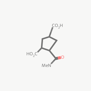 CNC(=O)C1CC(C(=O)O)CC1C(=O)O